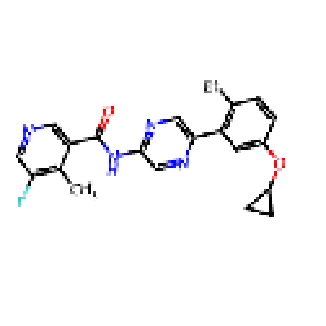 CCc1ccc(OC2CC2)cc1-c1cnc(NC(=O)c2cncc(F)c2C)cn1